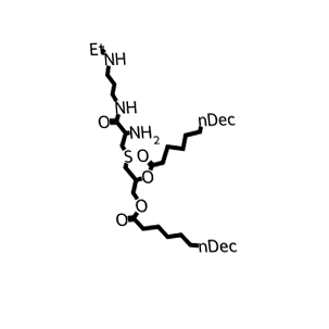 CCCCCCCCCCCCCCCC(=O)OCC(CSCC(N)C(=O)NCCCNCC)OC(=O)CCCCCCCCCCCCCCC